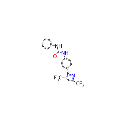 O=C(Nc1ccccc1)Nc1ccc(-n2nc(C(F)(F)F)cc2C(F)(F)F)cc1